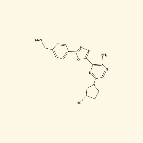 CNCc1ccc(-c2nnc(-c3nc(N4CC[C@H](O)C4)cnc3N)o2)cc1